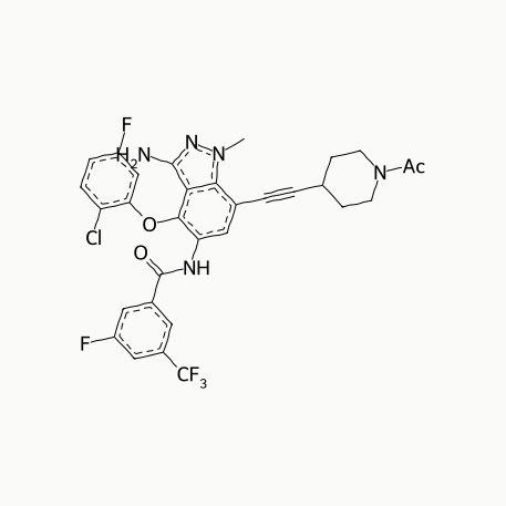 CC(=O)N1CCC(C#Cc2cc(NC(=O)c3cc(F)cc(C(F)(F)F)c3)c(Oc3cc(F)ccc3Cl)c3c(N)nn(C)c23)CC1